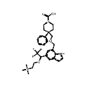 C[Si](C)(C)CCOC(c1cc(COCC2(c3ccccc3)CCN(C(=O)O)CC2)c2[nH]ccc2c1)C(F)(F)F